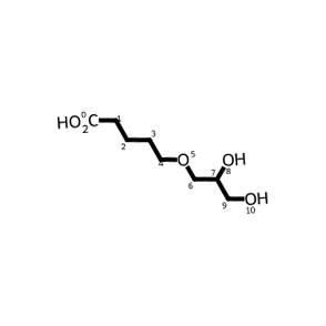 O=C(O)CCCCOCC(O)CO